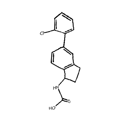 O=C(O)NC1CCc2cc(-c3ccccc3Cl)ccc21